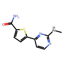 C[AsH]c1nccc(-c2ccc(C(N)=O)s2)n1